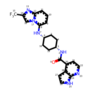 O=C(N[C@H]1CC[C@@H](Nc2cccc3nc(C(F)(F)F)cn23)CC1)c1ccnc2[nH]ccc12